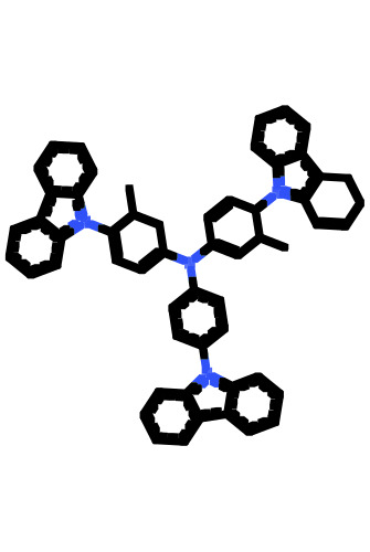 CC1CC(N(C2=CC(C)C(n3c4c(c5ccccc53)CCC=C4)C=C2)c2ccc(-n3c4ccccc4c4ccccc43)cc2)=CC=C1n1c2ccccc2c2ccccc21